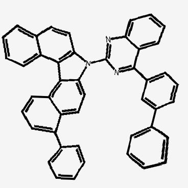 c1ccc(-c2cccc(-c3nc(-n4c5ccc6ccccc6c5c5c6cccc(-c7ccccc7)c6ccc54)nc4ccccc34)c2)cc1